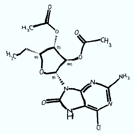 CC[C@H]1O[C@@H](n2c(=O)[nH]c3c(Cl)nc(N)nc32)[C@H](OC(C)=O)[C@H]1OC(C)=O